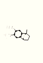 CC12CCC(O1)c1cc(N)c(N)cc12